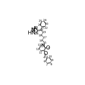 O=c1c(OCc2ccccc2)cccn1CCCCCC(c1ccccc1)c1c[nH]nn1